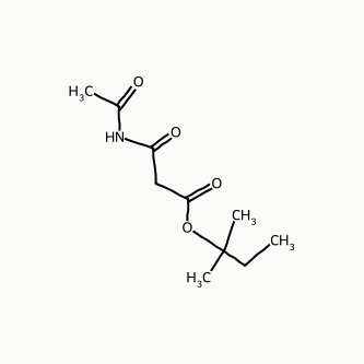 CCC(C)(C)OC(=O)CC(=O)NC(C)=O